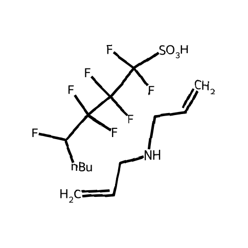 C=CCNCC=C.CCCCC(F)C(F)(F)C(F)(F)C(F)(F)S(=O)(=O)O